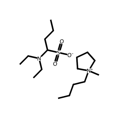 CCCC(N(CC)CC)S(=O)(=O)[O-].CCCC[N+]1(C)CCCC1